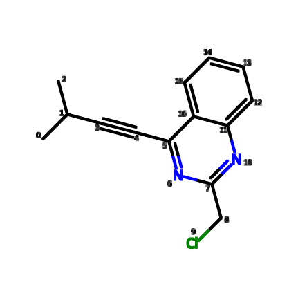 CC(C)C#Cc1nc(CCl)nc2ccccc12